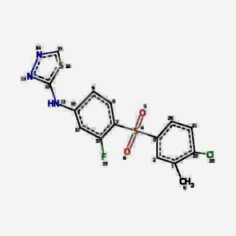 Cc1cc(S(=O)(=O)c2ccc(Nc3nncs3)cc2F)ccc1Cl